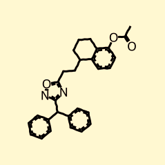 CC(=O)Oc1cccc2c1CCCC2CCc1nc(C(c2ccccc2)c2ccccc2)no1